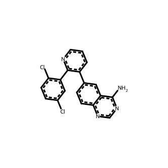 Nc1ncnc2ccc(-c3cccnc3-c3cc(Cl)ccc3Cl)cc12